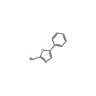 CCC(C)c1ncc(-c2ccccc2)o1